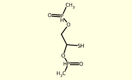 C[PH](=O)OCC(S)O[PH](C)=O